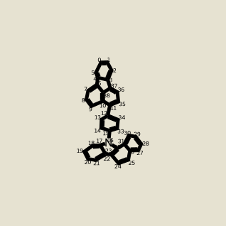 c1ccc2c(c1)-c1cccc3c(-c4ccc(-n5c6ccccc6c6ccc7ccccc7c65)cc4)ccc-2c13